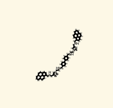 C1=CC2C=Cc3ccc(CNCc4cn(CCNCc5ccc(-c6ccc(CNCCn7cc(CNCc8ccc9ccc%10cccc%11ccc8c9c%10%11)nn7)cc6)cc5)nn4)c4c3C2C(=C1)C=C4